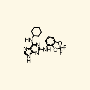 FC1(F)Oc2cccc(Nc3nc(NC4CCCCC4)c4nc[nH]c4n3)c2O1